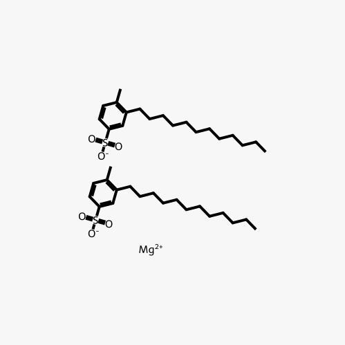 CCCCCCCCCCCCc1cc(S(=O)(=O)[O-])ccc1C.CCCCCCCCCCCCc1cc(S(=O)(=O)[O-])ccc1C.[Mg+2]